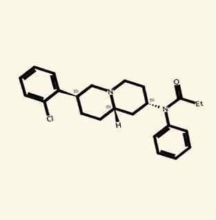 CCC(=O)N(c1ccccc1)[C@H]1CCN2C[C@H](c3ccccc3Cl)CC[C@H]2C1